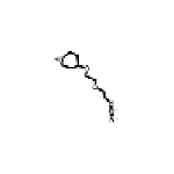 [N-]=[N+]=NCCOCCOC1CCNCC1